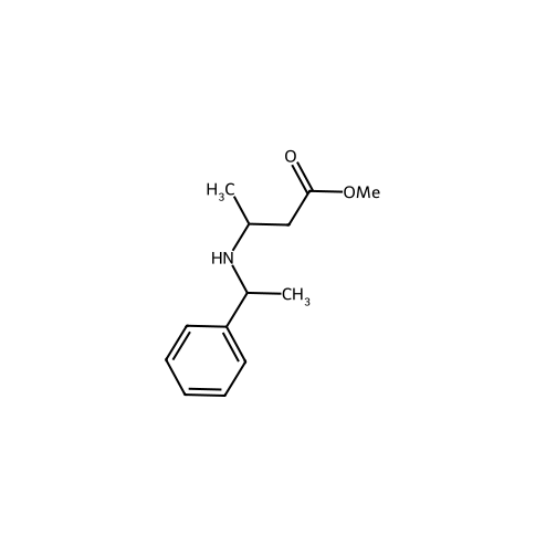 COC(=O)CC(C)NC(C)c1ccccc1